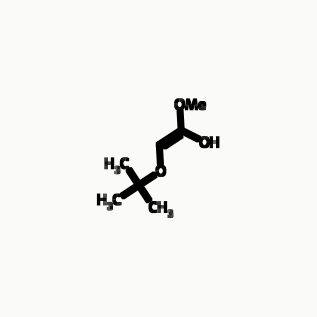 CO/C(O)=C/OC(C)(C)C